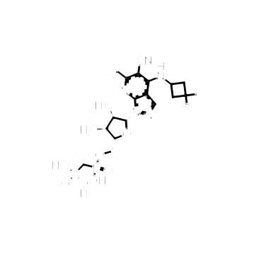 N#Cc1c(Cl)nc2c(cnn2[C@@H]2O[C@H](COP(=O)(O)CP(=O)(O)O)[C@@H](O)[C@H]2O)c1NC1CC(F)(F)C1